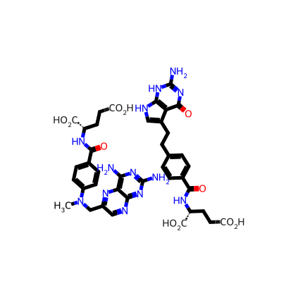 CN(Cc1cnc2nc(N)nc(N)c2n1)c1ccc(C(=O)N[C@@H](CCC(=O)O)C(=O)O)cc1.Nc1nc(=O)c2c(CCc3ccc(C(=O)N[C@H](CCC(=O)O)C(=O)O)cc3)c[nH]c2[nH]1